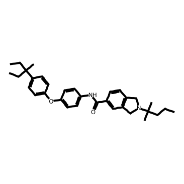 CCCC(C)(C)N1Cc2ccc(C(=O)Nc3ccc(Oc4ccc(C(C)(CC)CC)cc4)cc3)cc2C1